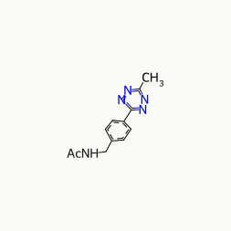 CC(=O)NCc1ccc(-c2nnc(C)nn2)cc1